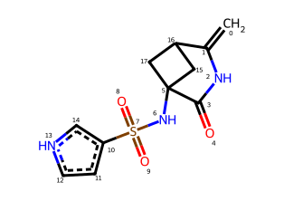 C=C1NC(=O)C2(NS(=O)(=O)c3cc[nH]c3)CC1C2